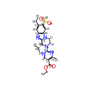 CCOC(=O)c1cnc(N2CCn3c(nc4cc(CC)c(S(C)(=O)=O)cc43)[C@H]2C(C)C)nc1C